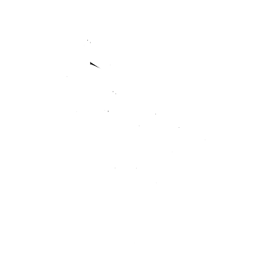 C=CCOc1ccc(C(=O)N2CC[C@@H]2C(=O)NO)cc1OC(F)(F)F